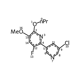 CCCOc1nc(-c2cncc(Cl)c2)c(F)cc1OC